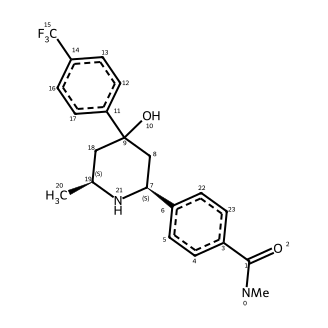 CNC(=O)c1ccc([C@@H]2CC(O)(c3ccc(C(F)(F)F)cc3)C[C@H](C)N2)cc1